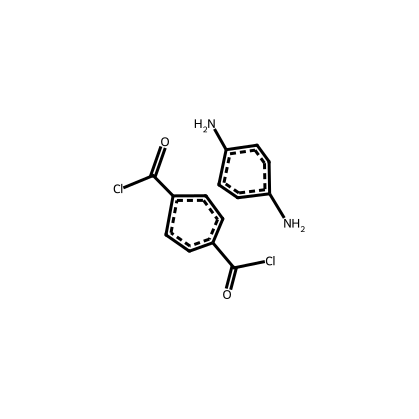 Nc1ccc(N)cc1.O=C(Cl)c1ccc(C(=O)Cl)cc1